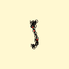 O=C1CCC(N2C(=O)c3cccc(OCCOCCOCCOCCOc4cc(CN5CCC(Oc6ccnc7ccsc67)CC5)on4)c3C2=O)C(=O)N1